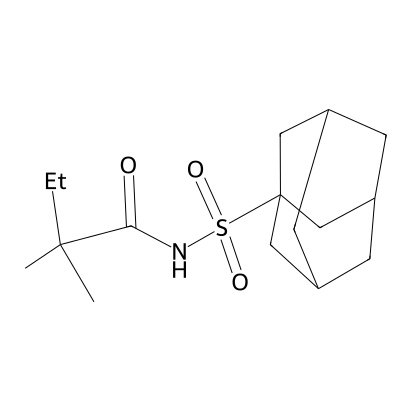 CCC(C)(C)C(=O)NS(=O)(=O)C12CC3CC(CC(C3)C1)C2